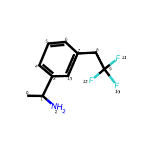 CC(N)c1cccc(CC(F)(F)F)c1